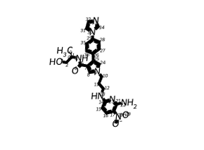 C[C@@H](CO)NC(=O)c1cn(CCCNc2ccc([N+](=O)[O-])c(N)n2)cc1-c1ccc(-n2ccnc2)cc1